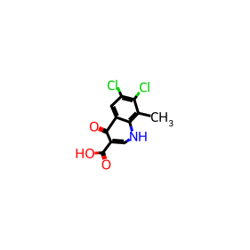 Cc1c(Cl)c(Cl)cc2c(=O)c(C(=O)O)c[nH]c12